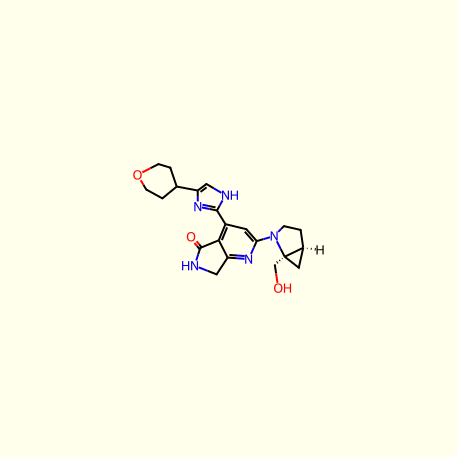 O=C1NCc2nc(N3CC[C@H]4C[C@]43CO)cc(-c3nc(C4CCOCC4)c[nH]3)c21